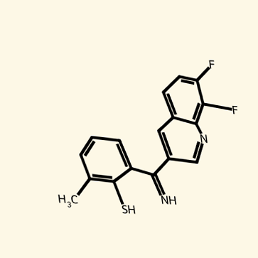 Cc1cccc(C(=N)c2cnc3c(F)c(F)ccc3c2)c1S